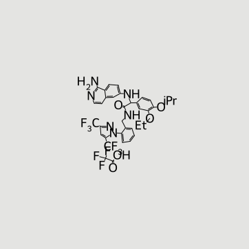 CCOc1cc(C(Nc2ccc3c(N)nccc3c2)C(=O)NCc2ccccc2-n2nc(C(F)(F)F)cc2C(F)(F)F)ccc1OC(C)C.O=C(O)C(F)(F)F